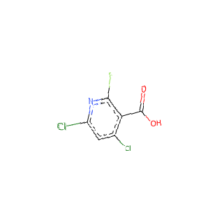 O=C(O)c1c(Cl)cc(Cl)nc1F